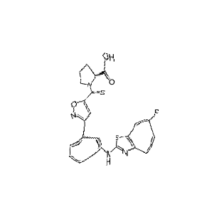 O=C(O)[C@@H]1CCCN1C(=S)c1cc(-c2cccc(Nc3nc4ccc(F)cc4s3)c2)no1